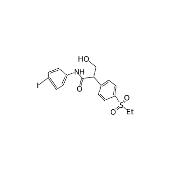 CCS(=O)(=O)c1ccc(C(CO)C(=O)Nc2ccc(I)cc2)cc1